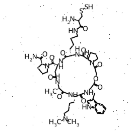 C[C@@H]1NC(=O)C[C@@H](C(=O)N2CCC[C@H]2C(N)=O)NC(=O)[C@H](CCCCNC(=O)[C@@H](N)CSS)NC(=O)[C@@H]2CCCN2C(=O)COC(=O)[C@H](Cc2c[nH]c3ccccc23)NC(=O)[C@H](CCCCN(C)C)NC1=O